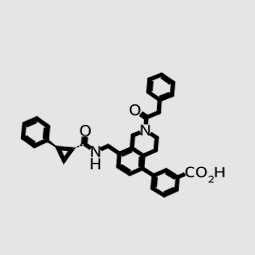 O=C(O)c1cccc(-c2ccc(CNC(=O)[C@@H]3C[C@H]3c3ccccc3)c3c2CCN(C(=O)Cc2ccccc2)C3)c1